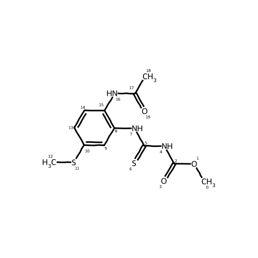 COC(=O)NC(=S)Nc1cc(SC)ccc1NC(C)=O